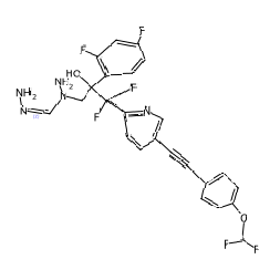 N/N=C\N(N)CC(O)(c1ccc(F)cc1F)C(F)(F)c1ccc(C#Cc2ccc(OC(F)F)cc2)cn1